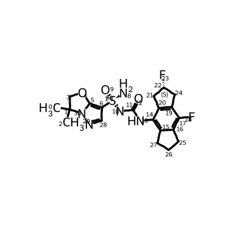 CC1(C)COc2c([S@](N)(=O)=NC(=O)Nc3c4c(c(F)c5c3C[C@H](F)C5)CCC4)cnn21